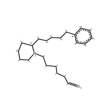 O=[C]CCCCCN1CCCCC1CCCCCc1ccccc1